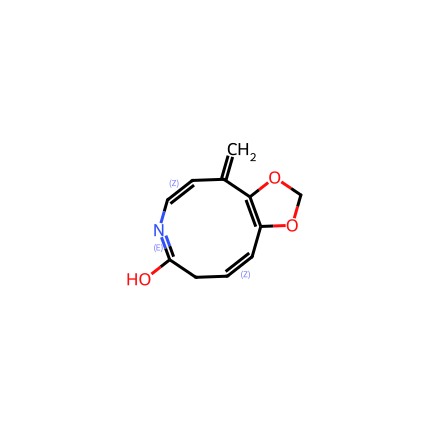 C=C1/C=C\N=C(\O)C/C=C\C2=C1OCO2